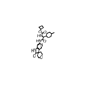 CC1CCC(C(NC(=O)OC2CCC2)C(=O)Nc2cc3c(cn2)C2(CCOCC2)C(=O)N3)CC1